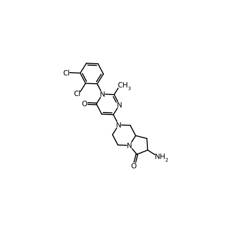 Cc1nc(N2CCN3C(=O)C(N)CC3C2)cc(=O)n1-c1cccc(Cl)c1Cl